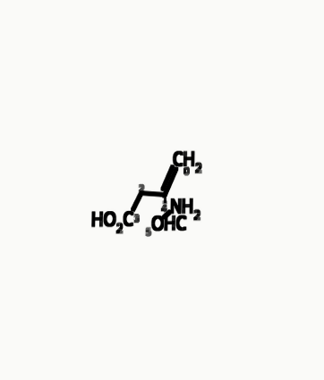 C=CCC(=O)O.NC=O